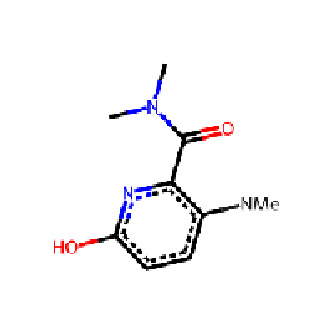 CNc1ccc(O)nc1C(=O)N(C)C